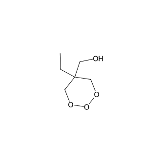 CCC1(CO)COOOC1